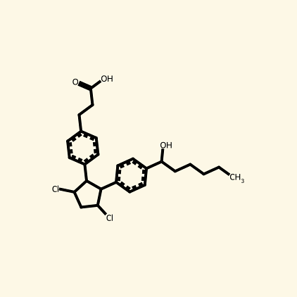 CCCCCC(O)c1ccc(C2C(Cl)CC(Cl)C2c2ccc(CCC(=O)O)cc2)cc1